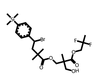 CC(F)(F)COC(=O)C(C)(CO)COC(=O)C(C)(C)CC(Br)c1ccc([Si](C)(C)C)cc1